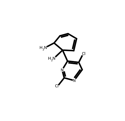 NC1C=CC=CC1(N)c1nc(Cl)ncc1Cl